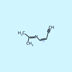 C#C/C=C\N=C(C)C